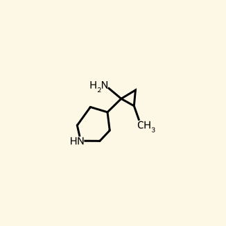 CC1CC1(N)C1CCNCC1